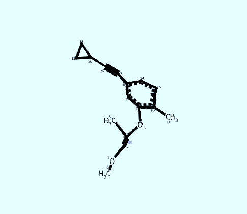 CO/C=C(\C)Oc1cc(C#CC2CC2)ccc1C